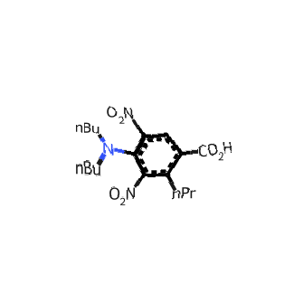 CCCCN(CCCC)c1c([N+](=O)[O-])cc(C(=O)O)c(CCC)c1[N+](=O)[O-]